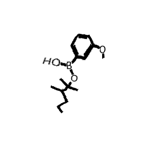 CCCC(C)C(C)(C)OB(O)c1cccc(OC)c1